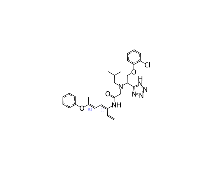 C=C/C(=C\C=C(/C)Oc1ccccc1)NC(=O)CN(CC(C)C)C(COc1ccccc1Cl)c1nnn[nH]1